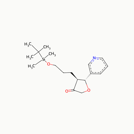 CC(C)(C)[Si](C)(C)OCCC[C@@H]1C(=O)CO[C@H]1c1cccnc1